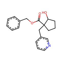 O=C(OCc1ccccc1)C1(Cc2cccnc2)CCCC1O